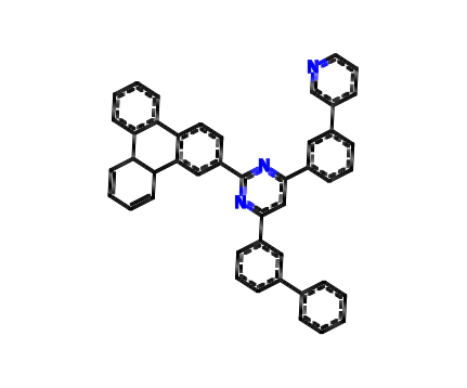 C1=CC2c3ccccc3-c3ccc(-c4nc(-c5cccc(-c6ccccc6)c5)cc(-c5cccc(-c6cccnc6)c5)n4)cc3C2C=C1